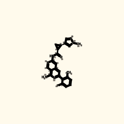 Cc1cccc(F)c1-c1cc2cc(NC(=O)[C@H]3C[C@@H]3c3cnn(C)c3)ncc2c(N)n1